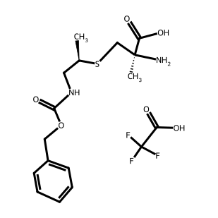 C[C@H](CNC(=O)OCc1ccccc1)SC[C@](C)(N)C(=O)O.O=C(O)C(F)(F)F